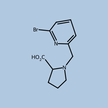 O=C(O)C1CCCN1Cc1cccc(Br)n1